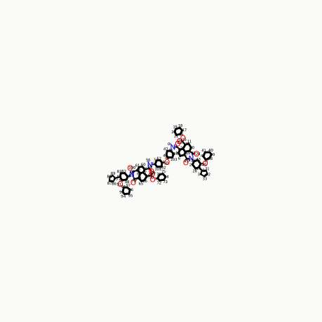 CN(C(=O)c1ccc2c3c(ccc(C(=O)Oc4ccccc4)c13)C(=O)N(c1ccc(C3=CC=CC3)c(Oc3ccccc3)c1)C2=O)c1ccc(Oc2ccc(N(C)C(=O)c3ccc4c5c(ccc(C(=O)Oc6ccccc6)c35)C(=O)N(c3ccc(C5C=CC=C5)c(Oc5ccccc5)c3)C4=O)cc2)cc1